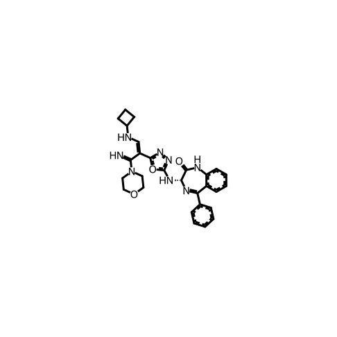 N=C(/C(=C\NC1CCC1)c1nnc(N[C@H]2N=C(c3ccccc3)c3ccccc3NC2=O)o1)N1CCOCC1